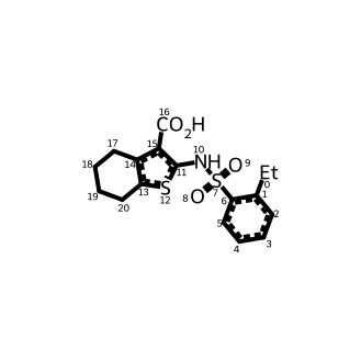 CCc1ccccc1S(=O)(=O)Nc1sc2c(c1C(=O)O)CCCC2